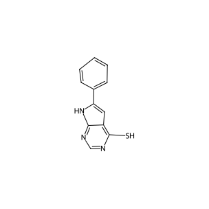 Sc1ncnc2[nH]c(-c3ccccc3)cc12